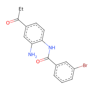 CCC(=O)c1ccc(NC(=O)c2cccc(Br)c2)c(N)c1